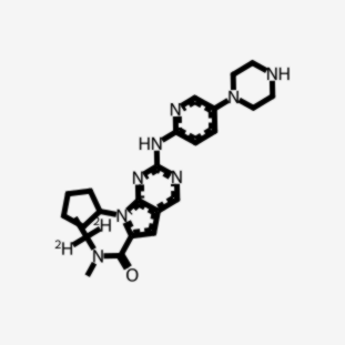 [2H]C([2H])(C)N(C)C(=O)c1cc2cnc(Nc3ccc(N4CCNCC4)cn3)nc2n1C1CCCC1